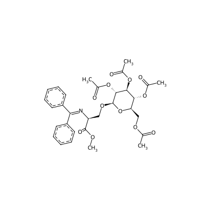 COC(=O)[C@H](CO[C@@H]1O[C@H](COC(C)=O)[C@@H](OC(C)=O)[C@H](OC(C)=O)[C@H]1OC(C)=O)N=C(c1ccccc1)c1ccccc1